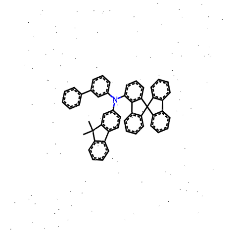 CC1(C)c2ccccc2-c2ccc(N(c3cccc(-c4ccccc4)c3)c3cccc4c3-c3ccccc3C43c4ccccc4-c4ccccc43)cc21